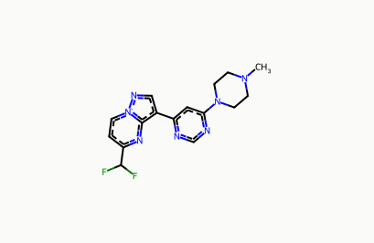 CN1CCN(c2cc(-c3cnn4ccc(C(F)F)nc34)ncn2)CC1